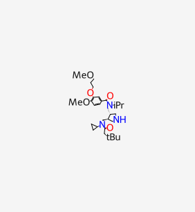 COCCCOc1cc(C(=O)N(C[C@@H]2CNC[C@H]2CN(C(=O)CC(C)(C)C)C2CC2)C(C)C)ccc1OC